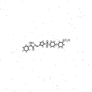 NN(C(=O)/C=C/c1ccn(S(=O)(=O)c2ccc(-c3cccc(C(=O)O)c3)cc2)c1)c1ccccc1